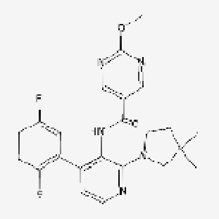 COc1ncc(C(=O)Nc2c(-c3cc(F)ccc3F)ccnc2N2CCC(C)(C)C2)cn1